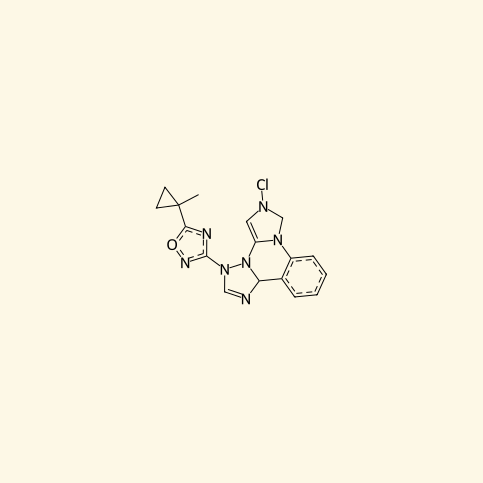 CC1(c2nc(N3C=NC4c5ccccc5N5CN(Cl)C=C5N43)no2)CC1